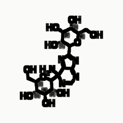 NC1(C2O[C@H](CO)[C@@H](O)[C@H](O)[C@H]2O)N=CN=C2N=C(C3O[C@H](CO)[C@@H](O)[C@H](O)[C@H]3O)N=C21